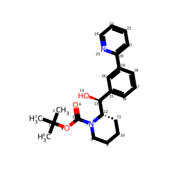 CC(C)(C)OC(=O)N1CCCC[C@H]1[C@@H](O)c1cccc(-c2ccccn2)c1